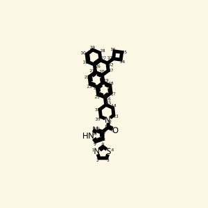 C1=NCCS1.O=C(c1cc[nH]n1)N1CCC(c2ccc3c4c(ccc3c2)C2=C(CCC=C2)C(C2CCC2)C4)CC1